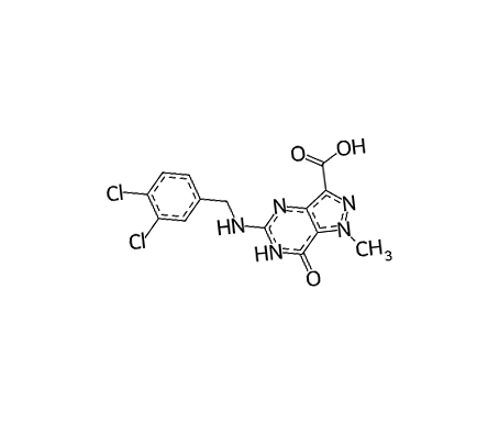 Cn1nc(C(=O)O)c2nc(NCc3ccc(Cl)c(Cl)c3)[nH]c(=O)c21